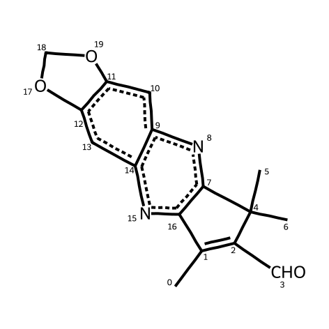 CC1=C(C=O)C(C)(C)c2nc3cc4c(cc3nc21)OCO4